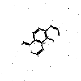 C=Cc1ccc(/C=C\C)c(C)c1/C=C\C